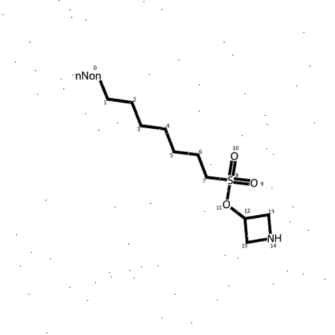 CCCCCCCCCCCCCCCCS(=O)(=O)OC1CNC1